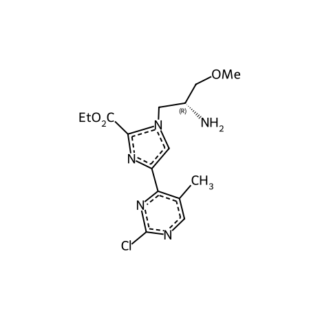 CCOC(=O)c1nc(-c2nc(Cl)ncc2C)cn1C[C@@H](N)COC